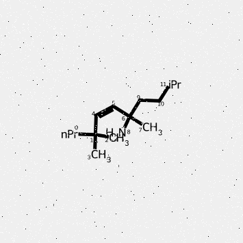 CCCC(C)(C)/C=C\C(C)(N)CCC(C)C